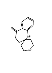 O=C1CCC2(CCNCC2)Nc2ccccc21